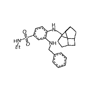 CCNS(=O)(=O)c1ccc(NC2C3CC4CC5CC2CC45C3)c(NCc2ccccc2)c1